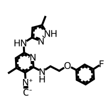 [C-]#[N+]c1c(C)cc(Nc2cc(C)[nH]n2)nc1NCCOc1cccc(F)c1